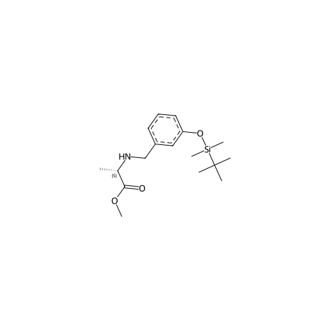 COC(=O)[C@H](C)NCc1cccc(O[Si](C)(C)C(C)(C)C)c1